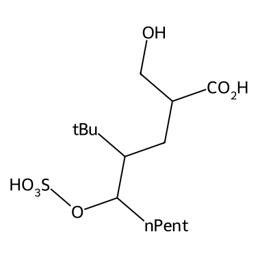 CCCCCC(OS(=O)(=O)O)C(CC(CO)C(=O)O)C(C)(C)C